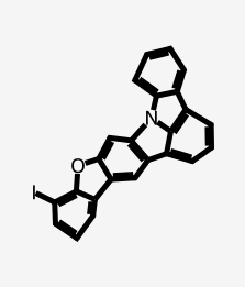 Ic1cccc2c1oc1cc3c(cc12)c1cccc2c4ccccc4n3c21